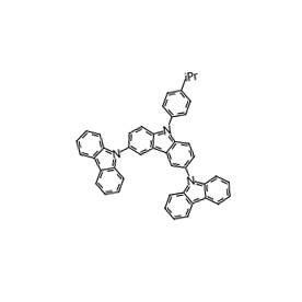 CC(C)c1ccc(-n2c3ccc(-n4c5ccccc5c5ccccc54)cc3c3cc(-n4c5ccccc5c5ccccc54)ccc32)cc1